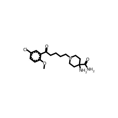 COc1ccc(Cl)cc1C(=O)CCCCN1CCC(N)(C(N)=O)CC1